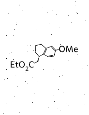 CCOC(=O)C[C@H]1CCCc2cc(OC)ccc21